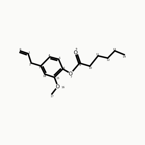 C=CCc1ccc(OC(=O)CCCCC)c(OC)c1